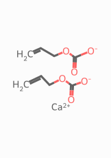 C=CCOC(=O)[O-].C=CCOC(=O)[O-].[Ca+2]